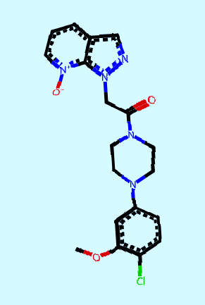 COc1cc(N2CCN(C(=O)Cn3ncc4ccc[n+]([O-])c43)CC2)ccc1Cl